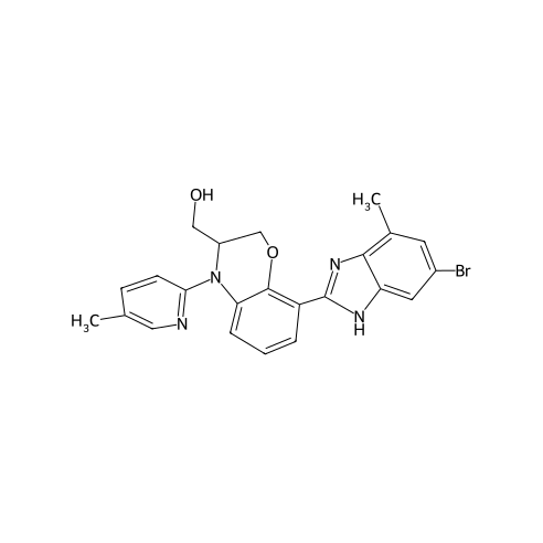 Cc1ccc(N2c3cccc(-c4nc5c(C)cc(Br)cc5[nH]4)c3OCC2CO)nc1